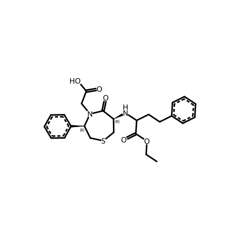 CCOC(=O)C(CCc1ccccc1)N[C@H]1CSC[C@@H](c2ccccc2)N(CC(=O)O)C1=O